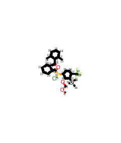 COCOc1c(P(Cl)c2oc(-c3c(C)cccc3C)c3ccccc23)ccc(C(F)(F)F)c1[Si](C)(C)C